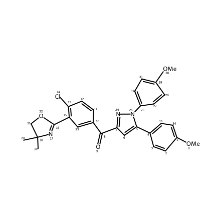 COc1ccc(-c2cc(C(=O)c3ccc(Cl)c(C4=NC(C)(C)CO4)c3)nn2-c2ccc(OC)cc2)cc1